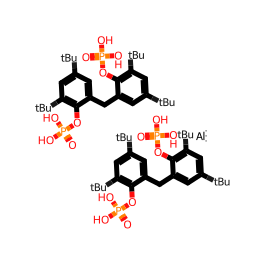 CC(C)(C)c1cc(Cc2cc(C(C)(C)C)cc(C(C)(C)C)c2OP(=O)(O)O)c(OP(=O)(O)O)c(C(C)(C)C)c1.CC(C)(C)c1cc(Cc2cc(C(C)(C)C)cc(C(C)(C)C)c2OP(=O)(O)O)c(OP(=O)(O)O)c(C(C)(C)C)c1.[Al]